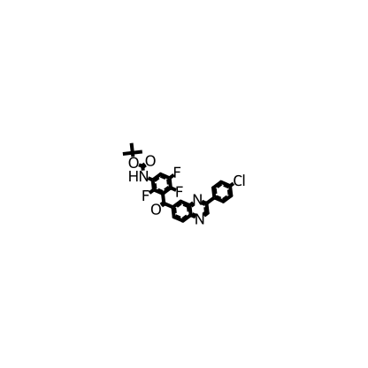 CC(C)(C)OC(=O)Nc1cc(F)c(F)c(C(=O)c2ccc3ncc(-c4ccc(Cl)cc4)nc3c2)c1F